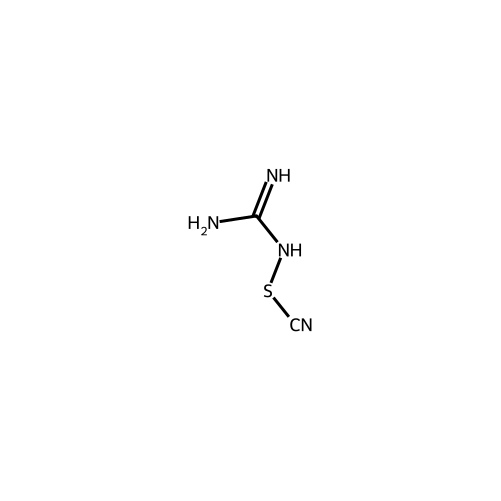 N#CSNC(=N)N